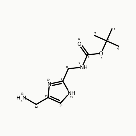 CC(C)(C)OC(=O)NCc1nc(CN)c[nH]1